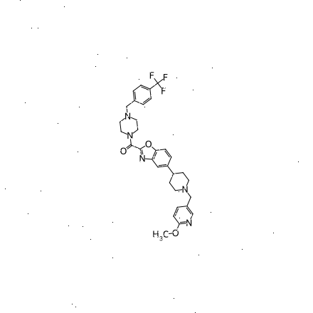 COc1ccc(CN2CCC(c3ccc4oc(C(=O)N5CCN(Cc6ccc(C(F)(F)F)cc6)CC5)nc4c3)CC2)cn1